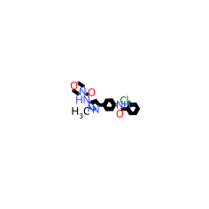 Cn1nc(-c2ccc(NC(=O)c3ccccc3Cl)cc2)cc1NC(=O)N1CCOCC1